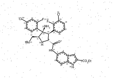 CCOC(=O)c1cc2cc(NC(=O)[C@@H]3N[C@@H](CC(C)(C)C)[C@](N)(c4ccc(Cl)cc4F)[C@H]3c3cccc(Cl)c3F)ccc2[nH]1